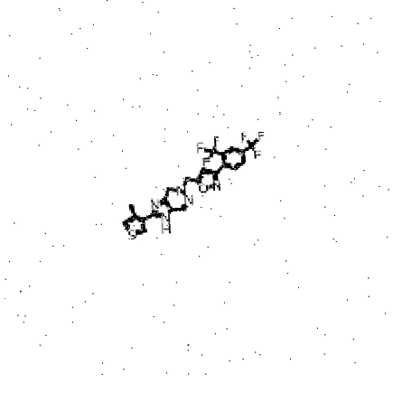 Cc1cscc1-c1nc2c([nH]1)C=NN(Cc1cc(-c3ccc(C(F)(F)F)cc3C(F)(F)F)no1)C2